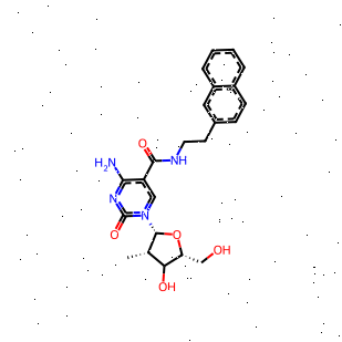 C[C@H]1C(O)[C@@H](CO)O[C@H]1n1cc(C(=O)NCCc2ccc3ccccc3c2)c(N)nc1=O